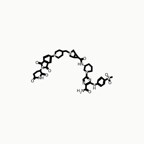 CS(=O)(=O)c1ccc(Nc2nc(N3CCC[C@@H](NC(=O)C4C5CN(CC6CCN(c7ccc8c(c7)C(=O)N(C7CCC(=O)NC7=O)C8=O)CC6)CC54)C3)cnc2C(N)=O)cc1